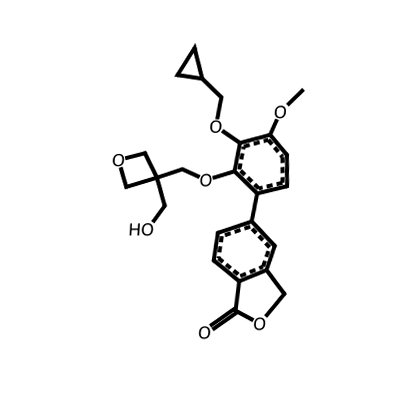 COc1ccc(-c2ccc3c(c2)COC3=O)c(OCC2(CO)COC2)c1OCC1CC1